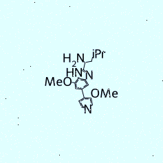 COc1cnccc1-c1cc(OC)c2[nH]c([C@H](N)CC(C)C)nc2c1